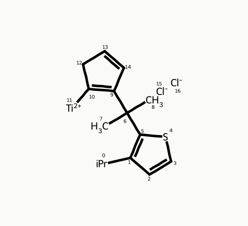 CC(C)c1ccsc1C(C)(C)C1=[C]([Ti+2])CC=C1.[Cl-].[Cl-]